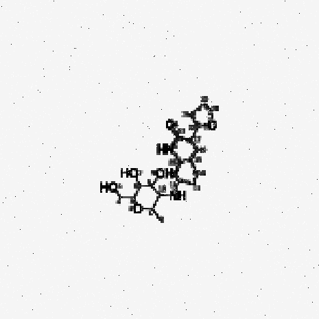 CC1OC(CO)C(O)C(O)C1Nc1ccc2cc(-c3ccco3)c(=O)[nH]c2c1